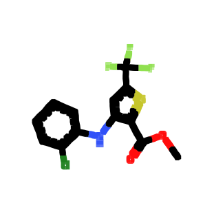 COC(=O)c1sc(C(F)(F)F)cc1Nc1ccccc1Cl